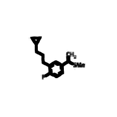 C=C(SC)c1ccc(F)c(CCCC2CC2)c1